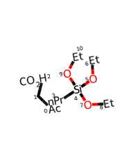 CC(=O)CC(=O)O.CCC[Si](OCC)(OCC)OCC